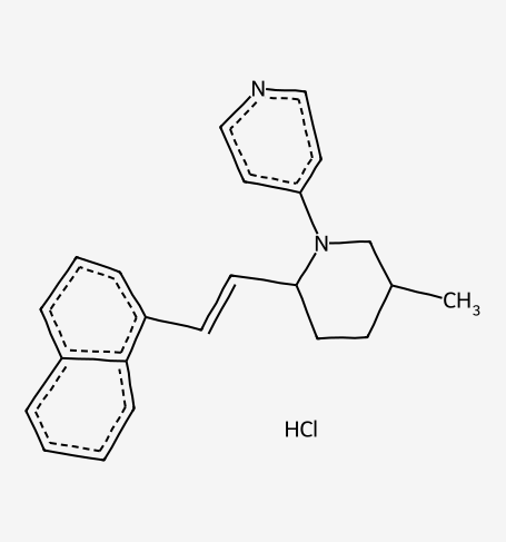 CC1CCC(C=Cc2cccc3ccccc23)N(c2ccncc2)C1.Cl